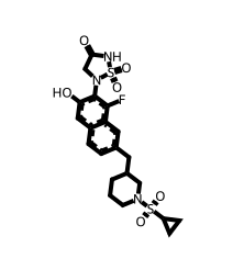 O=C1CN(c2c(O)cc3ccc(CC4CCCN(S(=O)(=O)C5CC5)C4)cc3c2F)S(=O)(=O)N1